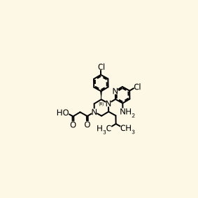 CC(C)CC1CN(C(=O)CC(=O)O)C[C@@H](c2ccc(Cl)cc2)N1c1ncc(Cl)cc1N